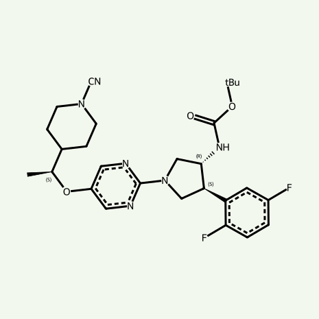 C[C@H](Oc1cnc(N2C[C@H](NC(=O)OC(C)(C)C)[C@@H](c3cc(F)ccc3F)C2)nc1)C1CCN(C#N)CC1